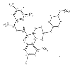 CCOC(=O)CC1CCC(CN2CCN(C(=O)NC[C@H](C)c3cc(C(F)(F)F)cc(C(F)(F)F)c3)C(c3ccc(F)cc3C)C2)CC1